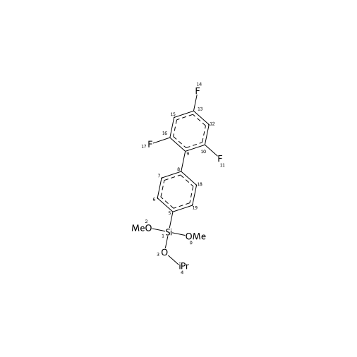 CO[Si](OC)(OC(C)C)c1ccc(-c2c(F)cc(F)cc2F)cc1